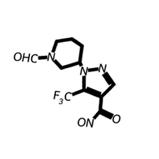 O=CN1CCCC(n2ncc(C(=O)N=O)c2C(F)(F)F)C1